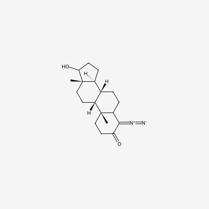 C[C@]12CCC(=O)C(=[N+]=[N-])C1CC[C@@H]1[C@H]2CC[C@]2(C)C(O)CC[C@@H]12